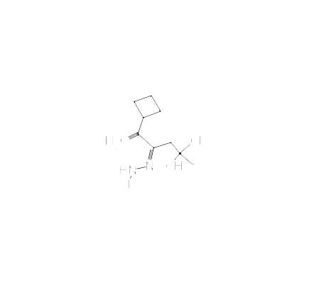 C=C(/C(CC(C)(C)I)=N\NI)C1CCC1